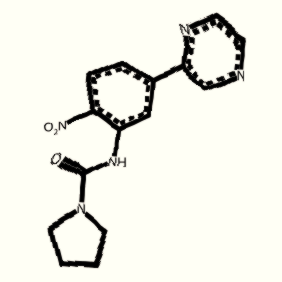 O=C(Nc1cc(-c2cnccn2)ccc1[N+](=O)[O-])N1CCCC1